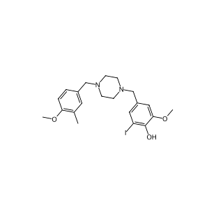 COc1ccc(CN2CCN(Cc3cc(I)c(O)c(OC)c3)CC2)cc1C